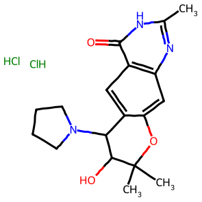 Cc1nc2cc3c(cc2c(=O)[nH]1)C(N1CCCC1)C(O)C(C)(C)O3.Cl.Cl